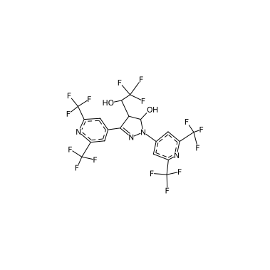 OC1C(C(O)C(F)(F)F)C(c2cc(C(F)(F)F)nc(C(F)(F)F)c2)=NN1c1cc(C(F)(F)F)nc(C(F)(F)F)c1